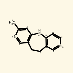 Cc1cc2c(cn1)CCc1cnccc1N2